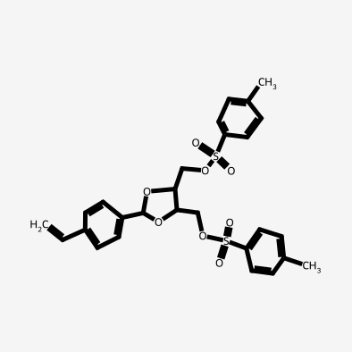 C=Cc1ccc(C2OC(COS(=O)(=O)c3ccc(C)cc3)C(COS(=O)(=O)c3ccc(C)cc3)O2)cc1